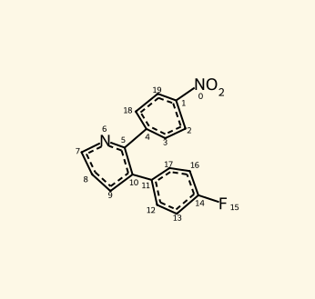 O=[N+]([O-])c1ccc(-c2ncccc2-c2ccc(F)cc2)cc1